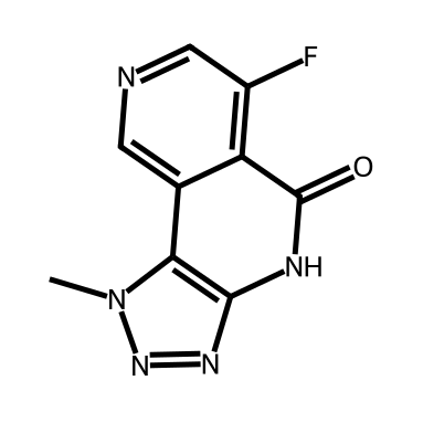 Cn1nnc2[nH]c(=O)c3c(F)cncc3c21